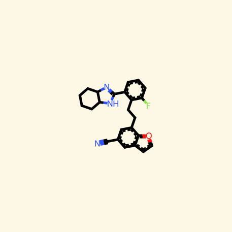 N#Cc1cc(CCc2c(F)cccc2C2=NC3CCCCC3N2)c2occc2c1